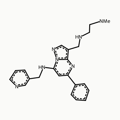 CNCCNCc1cnn2c(NCc3cccnc3)cc(-c3ccccc3)nc12